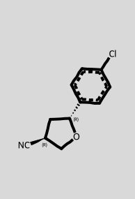 N#C[C@@H]1CO[C@@H](c2ccc(Cl)cc2)C1